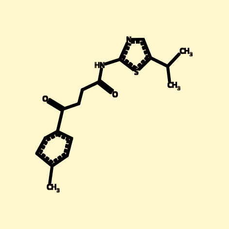 Cc1ccc(C(=O)CCC(=O)Nc2ncc(C(C)C)s2)cc1